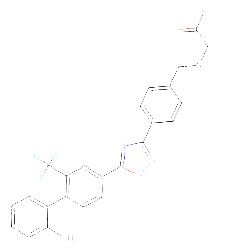 Cc1ccccc1-c1ccc(-c2nc(-c3ccc(CN[C@@H](C)C(=O)O)cc3)no2)cc1C(F)(F)F